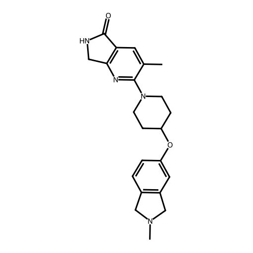 Cc1cc2c(nc1N1CCC(Oc3ccc4c(c3)CN(C)C4)CC1)CNC2=O